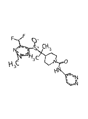 Cn1cc([S+]([O-])C(C)(C)C2CCN(C(=O)Nc3ccnnc3)CC2)c(C(F)F)n1